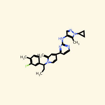 C=C1C=C(c2ccnc(Nc3cnn(C4CC4)c3C)n2)C=CN1C(CC)c1ccc(C)c(F)c1